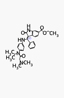 CCOC(=O)c1ccc2c(c1)NC(=O)/C2=C(\Nc1ccc(N(C(=O)CN(C)C)C(C)C)cc1)c1ccccc1